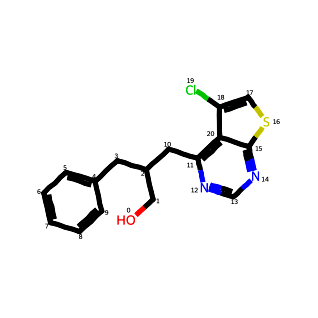 OCC(Cc1ccccc1)Cc1ncnc2scc(Cl)c12